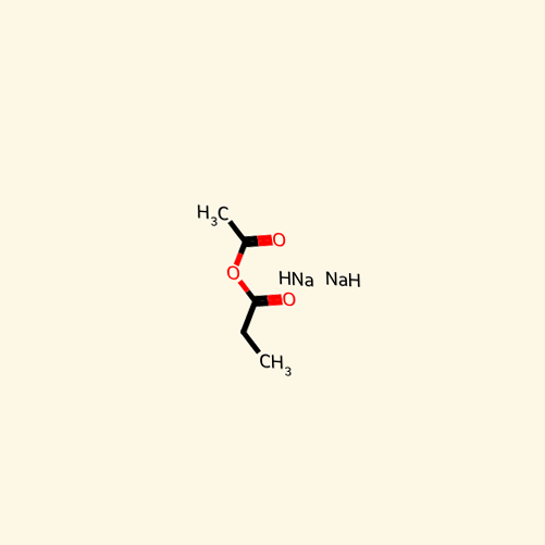 CCC(=O)OC(C)=O.[NaH].[NaH]